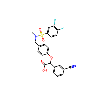 CN(Cc1ccc(OC(C(=O)O)c2cccc(C#N)c2)cc1)S(=O)(=O)c1ccc(F)c(F)c1